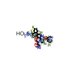 N#Cc1c(NC(=O)O)sc2c(F)ccc(-c3c(Cl)c4c5c(nc(OC[C@@]67CCCN6C[C@H](F)C7)nc5c3F)N(CC(F)F)C(c3cnco3)CO4)c12